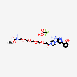 CC(C)(C)OC(=O)NCCOCCOCCOCCOCCC(=O)N1CCN(c2cc(-c3ccccc3O)nnc2N)CC1.O=C(O)C(F)(F)F